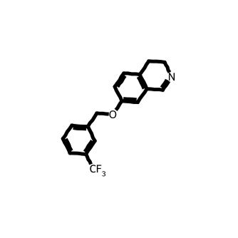 FC(F)(F)c1cccc(COc2ccc3c(c2)C=NCC3)c1